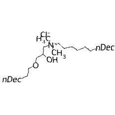 CCCCCCCCCCCCCCCC[N+](C)(C)CC(O)COCCCCCCCCCCCC.[Cl-]